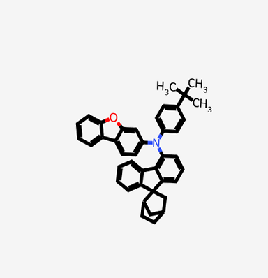 CC(C)(C)c1ccc(N(c2ccc3c(c2)oc2ccccc23)c2cccc3c2-c2ccccc2C32CC3CCC2C3)cc1